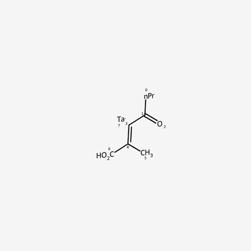 CCCC(=O)C=C(C)C(=O)O.[Ta]